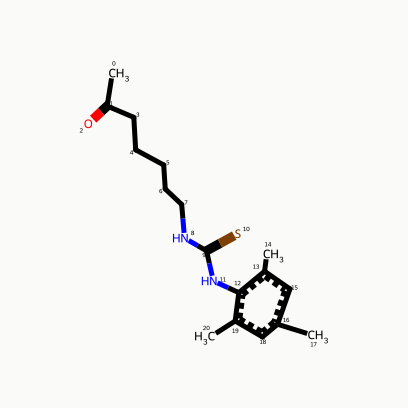 CC(=O)CCCCCNC(=S)Nc1c(C)cc(C)cc1C